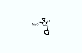 CON=C1CN(Cc2ccccc2)C(=O)C12CC2